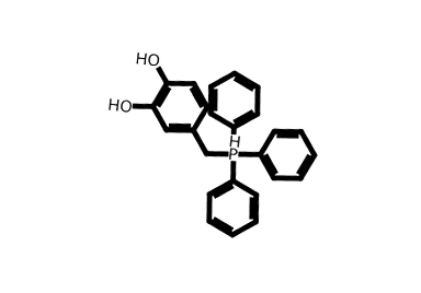 Oc1ccc(C[PH](c2ccccc2)(c2ccccc2)c2ccccc2)cc1O